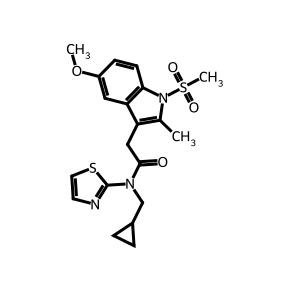 COc1ccc2c(c1)c(CC(=O)N(CC1CC1)c1nccs1)c(C)n2S(C)(=O)=O